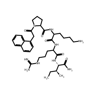 CC[C@H](C)[C@H](NC(=O)C(CCCNC(=N)N)NC(=O)C(CCCCN)NC(=O)C1CCCN1C(=O)Cc1cccc2ccccc12)C(N)=O